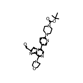 CC(C)(C)OC(=O)N1CCN(c2ccc(-c3cnc(N4CCOCC4)c4nc(C=O)cn34)cn2)CC1